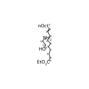 CCCCCCCCC=CCCCCCCCC(=O)OCC.NCCO